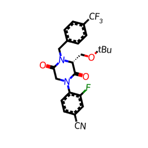 CC(C)(C)OC[C@@H]1C(=O)N(c2ccc(C#N)cc2F)CC(=O)N1Cc1ccc(C(F)(F)F)cc1